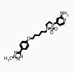 Cn1nnc(-c2ccc(OCCCCCN3CCN(c4ccnc(N)c4)S3(=O)=O)cc2)n1